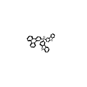 O=P(c1ccc2sc3ccccc3c2c1)(c1ccc2sc3ccccc3c2c1)c1ccc2c3ccccc3c3ccccc3c2c1